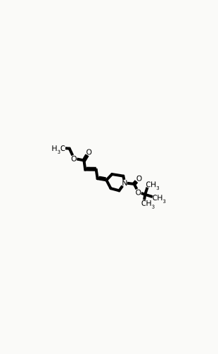 CCOC(=O)/C=C/C=C1CCN(C(=O)OC(C)(C)C)CC1